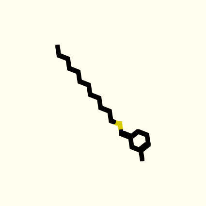 CCCCCCCCCCCCSC=C1CCC=C(C)C1